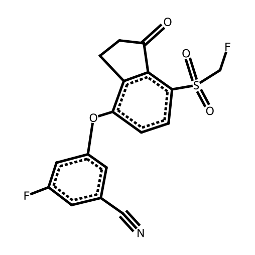 N#Cc1cc(F)cc(Oc2ccc(S(=O)(=O)CF)c3c2CCC3=O)c1